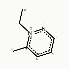 CC[n+]1ncccc1C